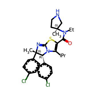 CCN(C(=O)C1=C(C(C)C)N2C(=N[C@@](C)(c3ccc(Cl)cc3)[C@H]2c2ccc(Cl)cc2)S1)[C@@]1(C)CCNC1